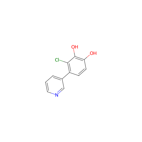 Oc1ccc(-c2cccnc2)c(Cl)c1O